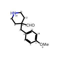 COc1ccc(CC2(C=O)CCNCC2)cc1